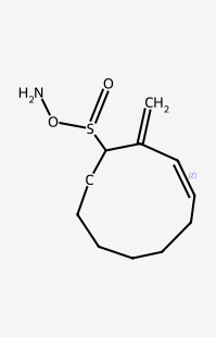 C=C1/C=C\CCCCCCC1S(=O)ON